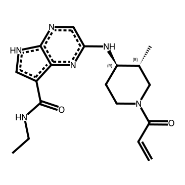 C=CC(=O)N1CC[C@@H](Nc2cnc3[nH]cc(C(=O)NCC)c3n2)[C@H](C)C1